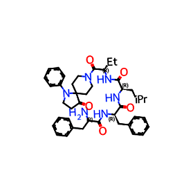 CC[C@@H](NC(=O)[C@@H](CC(C)C)NC(=O)[C@@H](Cc1ccccc1)NC(=O)[C@H](N)Cc1ccccc1)C(=O)N1CCC2(CC1)C(=O)CCN2c1ccccc1